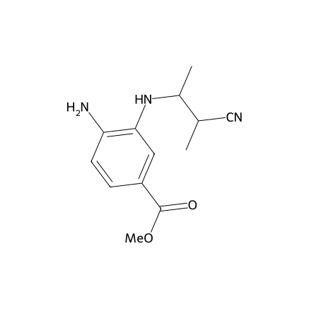 COC(=O)c1ccc(N)c(NC(C)C(C)C#N)c1